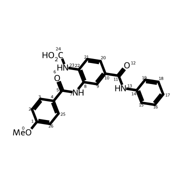 COc1ccc(C(=O)Nc2cc(C(=O)Nc3ccccc3)ccc2NC(=O)O)cc1